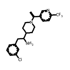 C=C(c1ccc(C(F)(F)F)nc1)N1CCC(C(N)Cc2cccc(Cl)c2)CC1